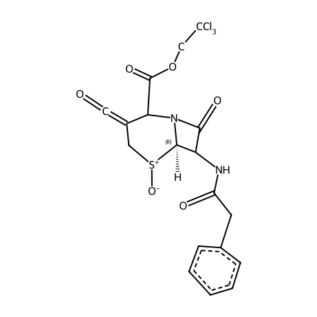 O=C=C1C[S+]([O-])[C@@H]2C(NC(=O)Cc3ccccc3)C(=O)N2C1C(=O)OCC(Cl)(Cl)Cl